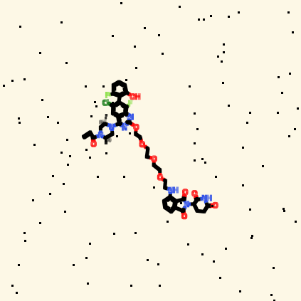 C=CC(=O)N1C[C@H](C)N(c2nc(OCCOCCOCCOCCNc3cccc4c3C(=O)N(C3CCC(=O)NC3=O)C4=O)nc3c(F)c(-c4c(O)cccc4F)c(Cl)cc23)C[C@H]1C